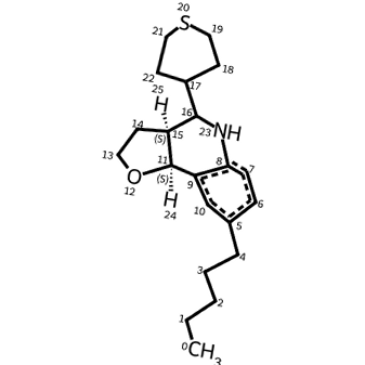 CCCCCc1ccc2c(c1)[C@H]1OCC[C@H]1C(C1CCSCC1)N2